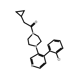 O=C(CC1CC1)N1CCN(c2cnccc2-c2ccccc2Cl)CC1